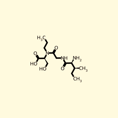 CCCN(C(=O)CNC(=O)[C@@H](N)[C@@H](C)CC)[C@@H](CO)C(=O)O